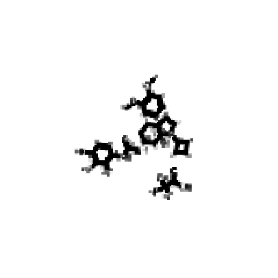 COc1ccc([C@@]23CC[C@@H](NC(=O)Nc4ccc(F)c(F)c4F)C[C@@H]2N(C2CCC2)CC3)cc1OC.O=C(O)C(F)(F)F